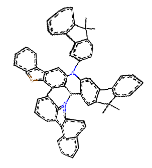 CC1(C)c2ccccc2-c2cc(N3c4cc5c(cc4B4c6c3cc3c(sc7ccccc73)c6-c3cccc6c7c8ccccc8ccc7n4c36)C(C)(C)c3ccccc3-5)ccc21